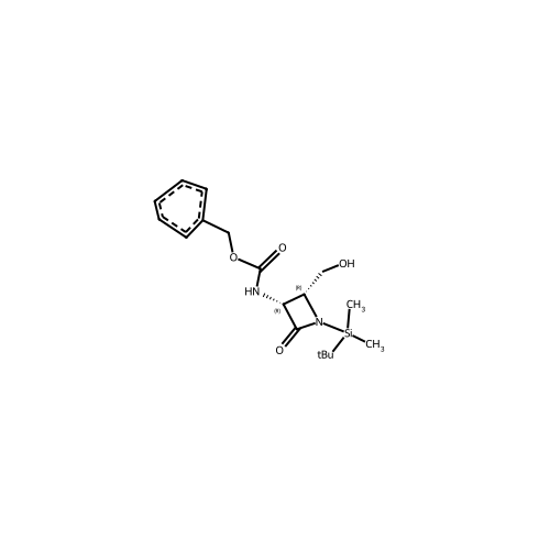 CC(C)(C)[Si](C)(C)N1C(=O)[C@H](NC(=O)OCc2ccccc2)[C@@H]1CO